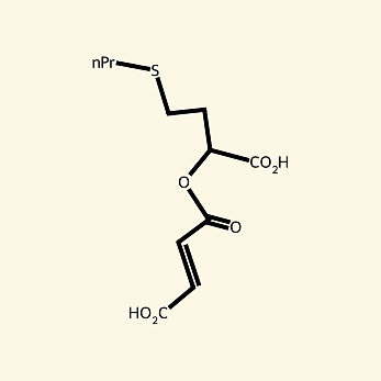 CCCSCCC(OC(=O)C=CC(=O)O)C(=O)O